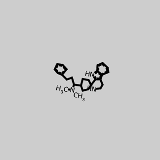 CN(C)C(CCc1ccccc1)C1CCC2(CC1)NCCc1c2[nH]c2ccccc12